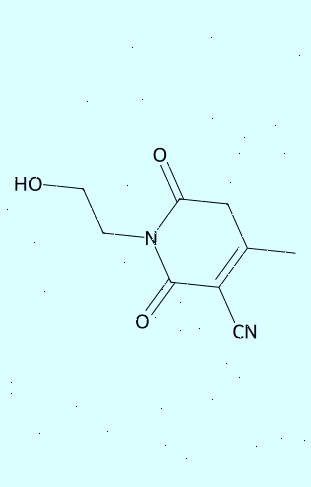 CC1=C(C#N)C(=O)N(CCO)C(=O)C1